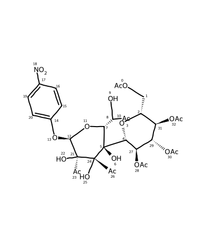 CC(=O)OC[C@H]1O[C@@H]([C@@]2(O)[C@@H](C(O)C(C)=O)O[C@H](Oc3ccc([N+](=O)[O-])cc3)[C@@](O)(C(C)=O)[C@]2(O)C(C)=O)[C@H](OC(C)=O)[C@@H](OC(C)=O)[C@@H]1OC(C)=O